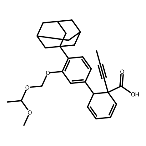 CC#CC1(C(=O)O)C=CC=CC1c1ccc(C23CC4CC(CC(C4)C2)C3)c(OCOC(C)OC)c1